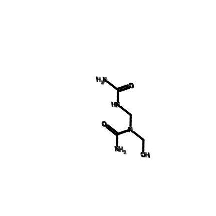 NC(=O)NCN(CO)C(N)=O